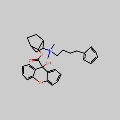 C[N+](C)(CCCCc1ccccc1)C1CC2CCC1C2OC(=O)C1(O)c2ccccc2Oc2ccccc21